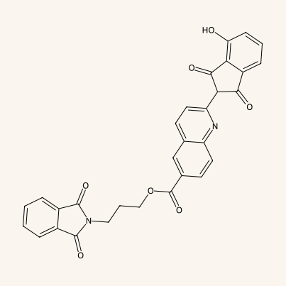 O=C(OCCCN1C(=O)c2ccccc2C1=O)c1ccc2nc(C3C(=O)c4cccc(O)c4C3=O)ccc2c1